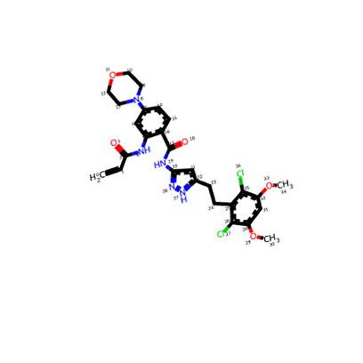 C=CC(=O)Nc1cc(N2CCOCC2)ccc1C(=O)Nc1cc(CCc2c(Cl)c(OC)cc(OC)c2Cl)[nH]n1